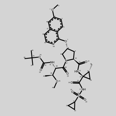 COc1ccc2c(O[C@@H]3C[C@@H](C(=O)N[C@]4(C(=O)NS(=O)(=O)C5CC5)C[C@H]4C)N(C(=O)[C@@H](NC(=O)OC(C)(C)C)[C@H](C)OC)C3)nccc2c1